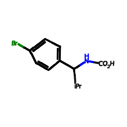 CC(C)C(NC(=O)O)c1ccc(Br)cc1